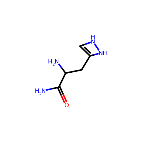 NC(=O)C(N)Cc1c[nH][nH]1